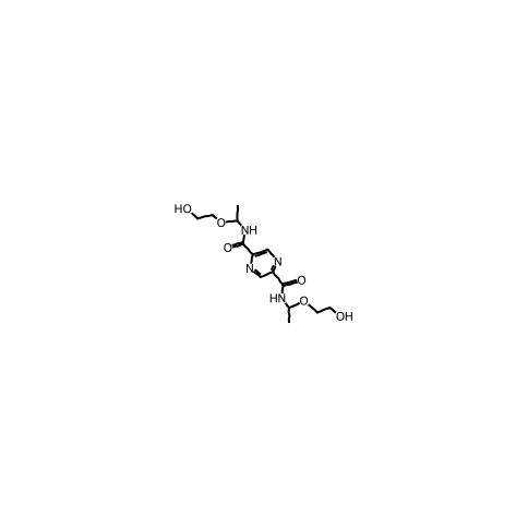 CC(NC(=O)c1cnc(C(=O)NC(C)OCCO)cn1)OCCO